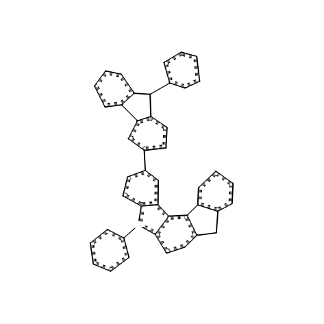 c1ccc(C2c3ccccc3-c3cc(-c4ccc5c(c4)c4c6c(ccc4n5-c4ccccc4)Cc4ccccc4-6)ccc32)cc1